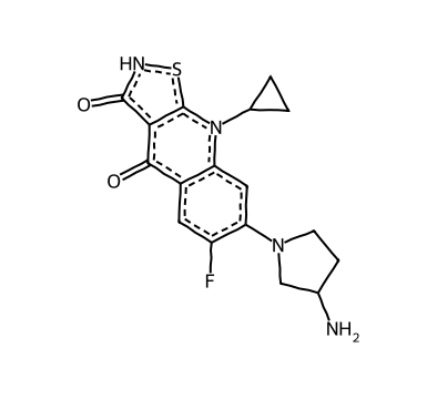 NC1CCN(c2cc3c(cc2F)c(=O)c2c(=O)[nH]sc2n3C2CC2)C1